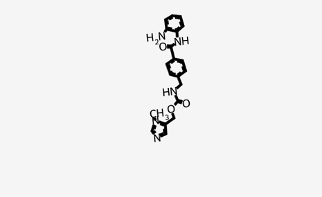 Cn1cncc1COC(=O)NCc1ccc(C(=O)Nc2ccccc2N)cc1